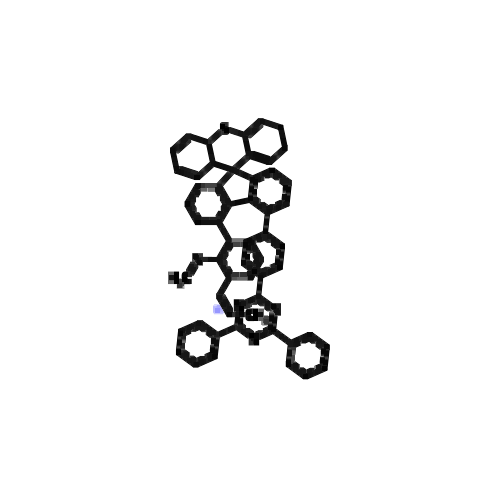 C=Nc1c(/C=C\C)cccc1-c1cccc2c1-c1c(-c3ccc(-c4nc(-c5ccccc5)nc(-c5ccccc5)n4)cc3)cccc1C21C2=CCCC=C2SC2C=CC=CC21